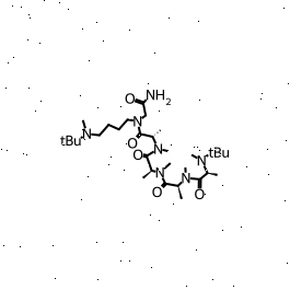 C[C@@H](C(=O)N(CCCCN(C)C(C)(C)C)CC(N)=O)N(C)C(=O)[C@H](C)N(C)C(=O)[C@H](C)N(C)C(=O)[C@H](C)N(C)C(C)(C)C